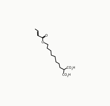 CC=CC(=O)OCCCCCCCCC(C(=O)O)C(=O)O